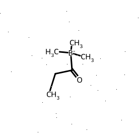 CCC(=O)[B-](C)(C)C